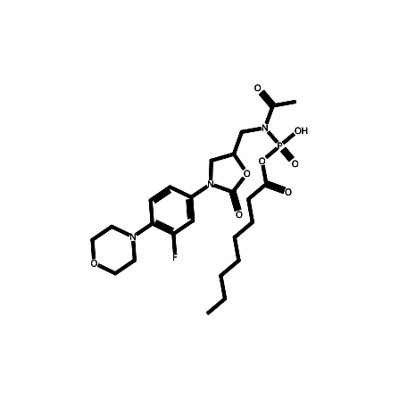 CCCCCCCC(=O)OP(=O)(O)N(CC1CN(c2ccc(N3CCOCC3)c(F)c2)C(=O)O1)C(C)=O